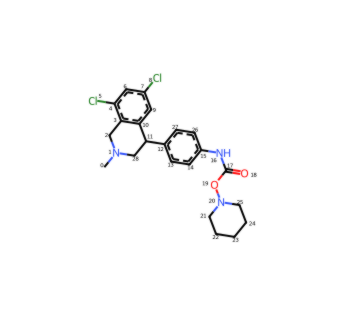 CN1Cc2c(Cl)cc(Cl)cc2C(c2ccc(NC(=O)ON3CCCCC3)cc2)C1